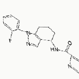 O=C(NC1CCCc2c1cnn2-c1ccccc1F)c1cscn1